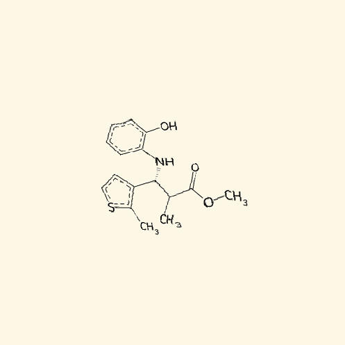 COC(=O)C(C)[C@@H](Nc1ccccc1O)c1ccsc1C